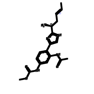 C/C=C/C[C@H](N)c1nc(-c2ccc(NC(=O)OC)cc2NC(C)=O)c[nH]1